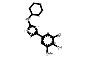 COc1cc(-c2nnc(NC3CCCCC3)s2)cc(Cl)c1O